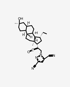 CC[C@@H]1C[C@H](C(=C=O)Cn2nc(C#N)cc2C#N)[C@@]2(C)CC[C@H]3[C@@H](CC[C@@H]4C[C@](C)(O)CC[C@@H]43)[C@H]12